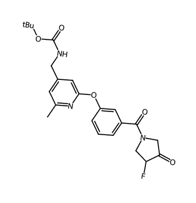 Cc1cc(CNC(=O)OC(C)(C)C)cc(Oc2cccc(C(=O)N3CC(=O)C(F)C3)c2)n1